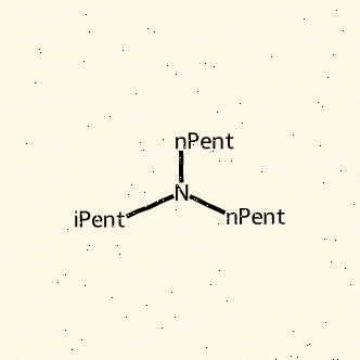 CCCCCN(CCCCC)C(C)CCC